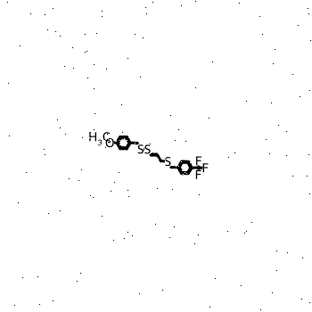 COc1ccc(CSSC=CCSCc2ccc(C(F)(F)F)cc2)cc1